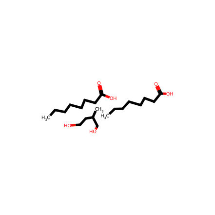 CC(CO)CCO.CCCCCCCC(=O)O.CCCCCCCC(=O)O